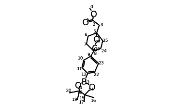 COC(=O)CC12CCC(c3ccc(B4OC(C)(C)C(C)(C)O4)cc3)(CC1)CO2